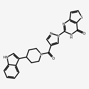 O=C(c1cnn(-c2nc3ccsc3c(=O)[nH]2)c1)N1CCC(c2c[nH]c3ccccc23)CC1